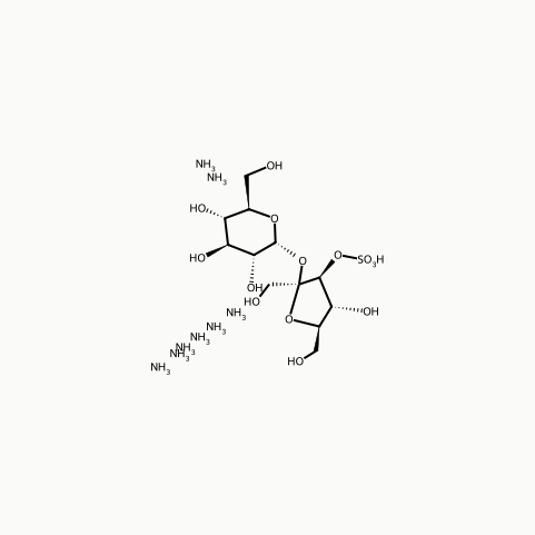 N.N.N.N.N.N.N.N.O=S(=O)(O)O[C@H]1[C@H](O)[C@@H](CO)O[C@@]1(CO)O[C@H]1O[C@H](CO)[C@@H](O)[C@H](O)[C@H]1O